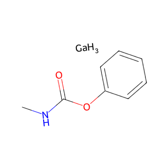 CNC(=O)Oc1ccccc1.[GaH3]